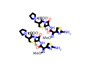 CO/N=C(\C(=O)N[C@@H]1C(=O)N2C(C(=O)[O-])=C(C[N+]3(C)CCCC3)CS[C@H]12)c1csc(N)n1.CO/N=C(\C(=O)N[C@@H]1C(=O)N2C(C(=O)[O-])=C(C[N+]3(C)CCCC3)CS[C@H]12)c1csc(N)n1